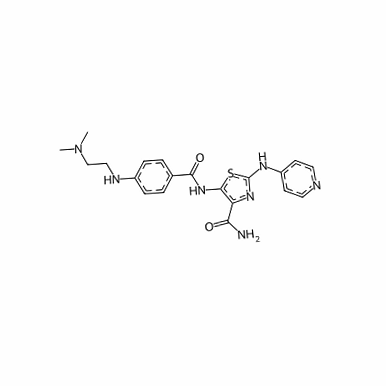 CN(C)CCNc1ccc(C(=O)Nc2sc(Nc3ccncc3)nc2C(N)=O)cc1